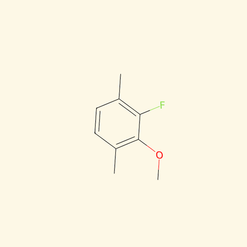 COc1c(C)ccc(C)c1F